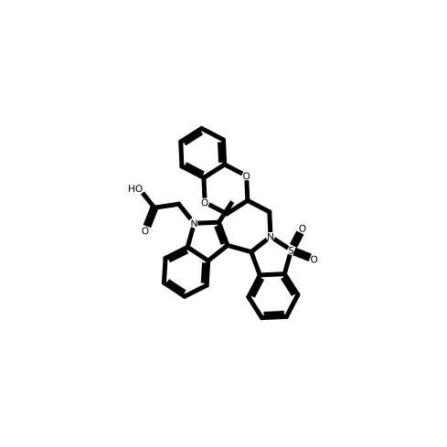 Cc1c(C2c3ccccc3S(=O)(=O)N2CC2COc3ccccc3O2)c2ccccc2n1CC(=O)O